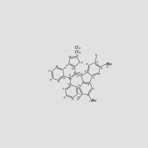 Cc1cc2c(cc1C(C)(C)C)-c1cc(C(C)(C)C)c(C)cc1[CH]2[Zr+2]([C]1=CC=CC1)=[Si](c1ccccc1)c1ccccc1.[Cl-].[Cl-]